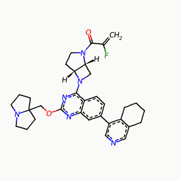 C=C(F)C(=O)N1CC[C@@H]2[C@H]1CN2c1nc(OCC23CCCN2CCC3)nc2cc(-c3cncc4c3CCCC4)ccc12